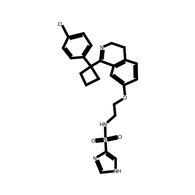 O=S(=O)(NCCOc1ccc2c(c1)C(C1(c3ccc(Cl)cc3)CCC1)=NCC2)c1c[nH]cn1